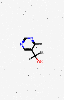 CCC(C)(O)c1cncnc1C